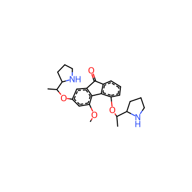 COc1cc(OC(C)C2CCCN2)cc2c1-c1c(OC(C)C3CCCN3)cccc1C2=O